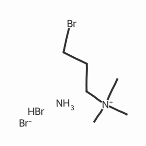 Br.C[N+](C)(C)CCCBr.N.[Br-]